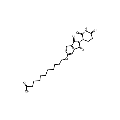 O=C(O)CCCCCCCCCCNc1ccc2c(c1)C(=O)N(C1CCC(=O)NC1=O)C2=O